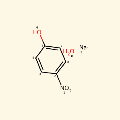 O.O=[N+]([O-])c1ccc(O)cc1.[Na]